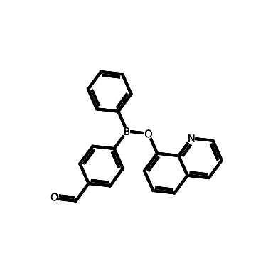 O=Cc1ccc(B(Oc2cccc3cccnc23)c2ccccc2)cc1